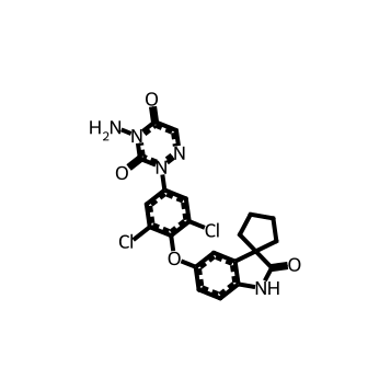 Nn1c(=O)cnn(-c2cc(Cl)c(Oc3ccc4c(c3)C3(CCCC3)C(=O)N4)c(Cl)c2)c1=O